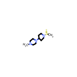 CN1CCN(C2CCN(S(C)=S)CC2)CC1